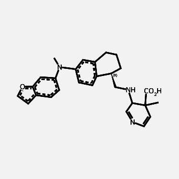 CN(c1ccc2c(c1)CCC[C@H]2CNC1C=NC=CC1(C)C(=O)O)c1ccc2ccoc2c1